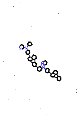 c1ccc(N(c2ccc(-c3ccc4c5c(cccc35)-c3cc(-c5cccc(N(c6ccc(-c7ccc8c9c(cccc79)-c7ccccc7-8)cc6)c6ccccn6)c5)ccc3-4)cc2)c2cccnc2)cc1